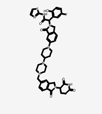 O=C1CCC(N2Cc3cc(CN4CCN(C5CCN(c6ccc7c(c6)C(=O)N(C(C(=O)Nc6nccs6)c6cc(F)ccc6O)C7)CC5)CC4)ccc3C2=O)C(=O)N1